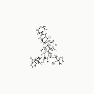 CC1(C)C2CCCCC2C2CCC(N(C3CCC(C4CCCCC4)CC3)C3CCCC4C3CC3CCCC(C5CCC6CC(C7CCCCC7)CC6C5)C34)CC21